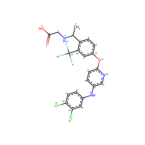 CC(NCC(=O)O)c1ccc(Oc2ccc(Nc3ccc(Cl)c(Cl)c3)cn2)cc1C(F)(F)F